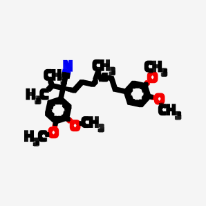 COc1ccc(CC[As](C)CCC[C@@](C#N)(c2ccc(OC)c(OC)c2)C(C)C)cc1OC